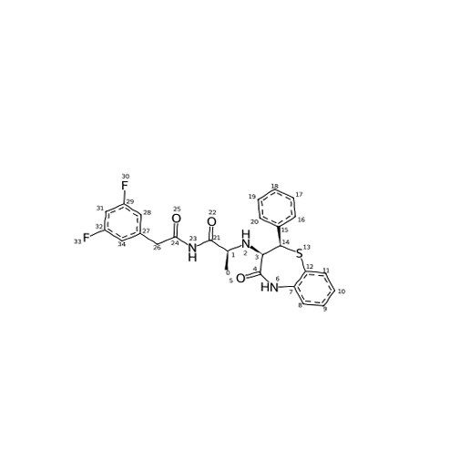 C[C@H](N[C@@H]1C(=O)Nc2ccccc2S[C@@H]1c1ccccc1)C(=O)NC(=O)Cc1cc(F)cc(F)c1